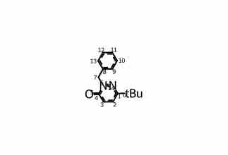 CC(C)(C)c1ccc(=O)n(Cc2ccccc2)n1